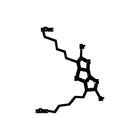 CCCCCCCCCCCCCCCc1c(Br)sc2c1sc1c(CCCCCCCCCCCCCCC)c(Br)sc12